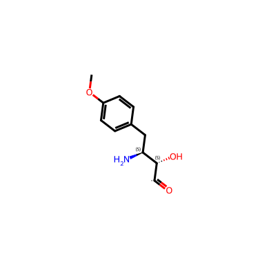 COc1ccc(C[C@H](N)[C@H](O)[C]=O)cc1